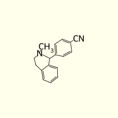 CN1CCc2ccccc2C1c1ccc(C#N)cc1